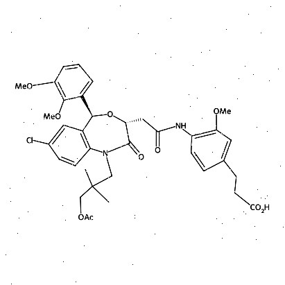 COc1cc(CCC(=O)O)ccc1NC(=O)C[C@H]1O[C@H](c2cccc(OC)c2OC)c2cc(Cl)ccc2N(CC(C)(C)COC(C)=O)C1=O